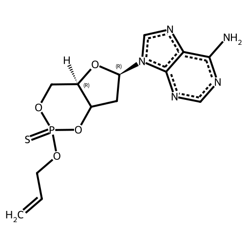 C=CCOP1(=S)OC[C@H]2O[C@@H](n3cnc4c(N)ncnc43)CC2O1